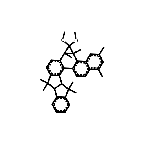 COC1(OC)C2(C)c3ccc4c(c3-c3ccc5c(C)cc(C)cc5c3C12C)C1C(c2ccccc2C1(C)C)C4(C)C